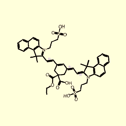 CCOC(=O)C1(C(=O)O)CC(/C=C/C2=[N+](CCCS(=O)(=O)O)c3ccc4ccccc4c3C2(C)C)=CC(=C/C=C2/N(CCCS(=O)(=O)O)c3ccc4ccccc4c3C2(C)C)/C1